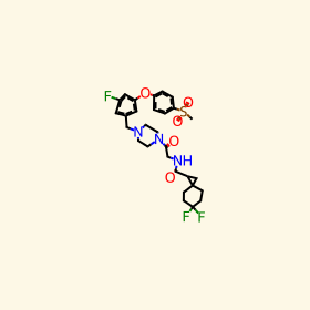 CS(=O)(=O)c1ccc(Oc2cc(F)cc(CN3CCN(C(=O)CNC(=O)C4CC45CCC(F)(F)CC5)CC3)c2)cc1